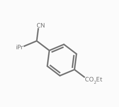 CCOC(=O)c1ccc(C(C#N)C(C)C)cc1